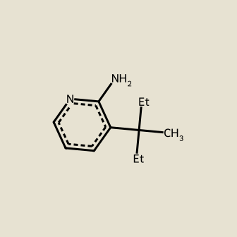 CCC(C)(CC)c1cccnc1N